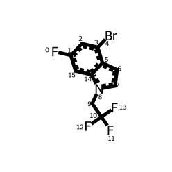 Fc1cc(Br)c2ccn(CC(F)(F)F)c2c1